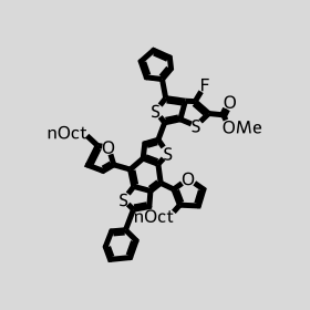 CCCCCCCCc1ccc(-c2c3cc(-c4sc(-c5ccccc5)c5c(F)c(C(=O)OC)sc45)sc3c(-c3occc3CCCCCCCC)c3cc(-c4ccccc4)sc23)o1